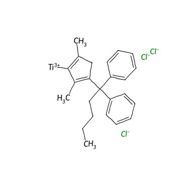 CCCCC(C1=C(C)[C]([Ti+3])=C(C)C1)(c1ccccc1)c1ccccc1.[Cl-].[Cl-].[Cl-]